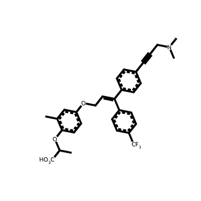 Cc1cc(OCC=C(c2ccc(C#CCN(C)C)cc2)c2ccc(C(F)(F)F)cc2)ccc1OC(C)C(=O)O